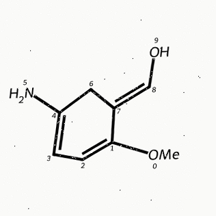 COC1=CC=C(N)CC1=CO